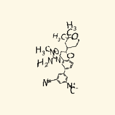 [C-]#[N+]c1cc(C#N)cc(-c2ccc3c(c2)C2(CC(C4CCOC(C)(C)C4)O3)N=C(N)N(C)O2)c1